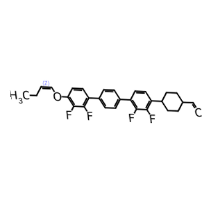 C=CC1CCC(c2ccc(-c3ccc(-c4ccc(O/C=C\CC)c(F)c4F)cc3)c(F)c2F)CC1